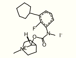 CN(C(=O)O[C@H]1C[N+]2(C)CCC1CC2)c1cccc(C2CCCCC2)c1F.[I-]